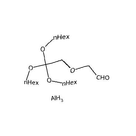 CCCCCCOC(COCC=O)(OCCCCCC)OCCCCCC.[AlH3]